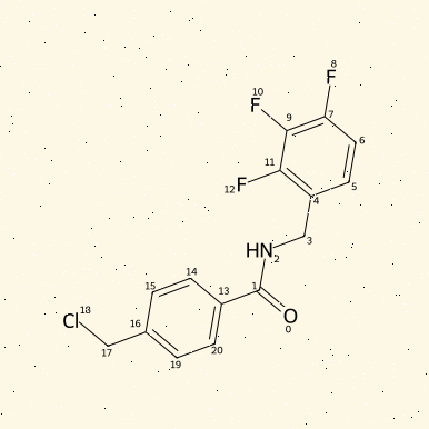 O=C(NCc1ccc(F)c(F)c1F)c1ccc(CCl)cc1